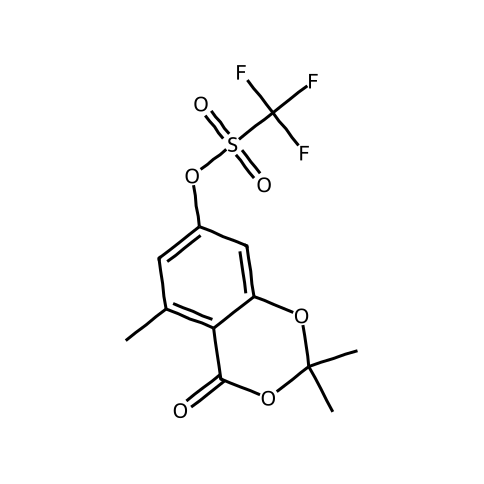 Cc1cc(OS(=O)(=O)C(F)(F)F)cc2c1C(=O)OC(C)(C)O2